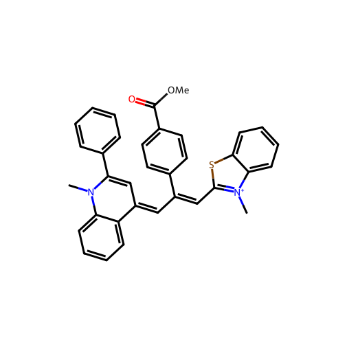 COC(=O)c1ccc(C(=C\c2sc3ccccc3[n+]2C)/C=C2\C=C(c3ccccc3)N(C)c3ccccc32)cc1